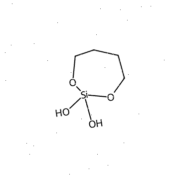 O[Si]1(O)OCCCCO1